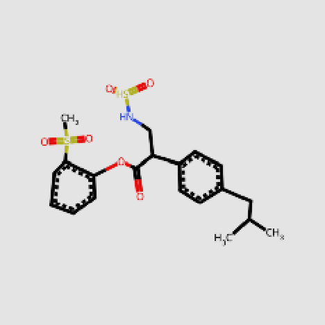 CC(C)Cc1ccc(C(CN[SH](=O)=O)C(=O)Oc2ccccc2S(C)(=O)=O)cc1